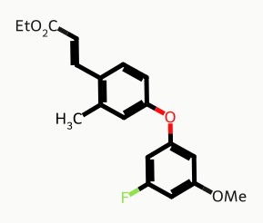 CCOC(=O)C=Cc1ccc(Oc2cc(F)cc(OC)c2)cc1C